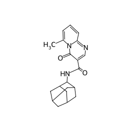 Cc1cccc2ncc(C(=O)NC3C4CC5CC(C4)CC3C5)c(=O)n12